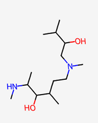 CNC(C)C(O)C(C)CCN(C)CC(O)C(C)C